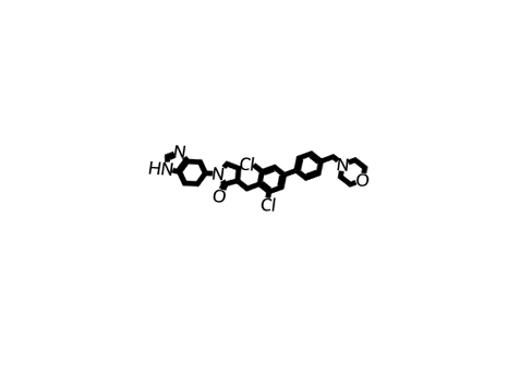 O=C1C(Cc2c(Cl)cc(-c3ccc(CN4CCOCC4)cc3)cc2Cl)CCN1C1CCc2[nH]cnc2C1